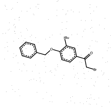 CC(C)(C)c1cc(C(=O)CBr)ccc1OCc1ccccc1